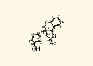 CC(=O)N1N=C2c3ccccc3OC[C@H]2[C@H]1c1cccc(O)c1